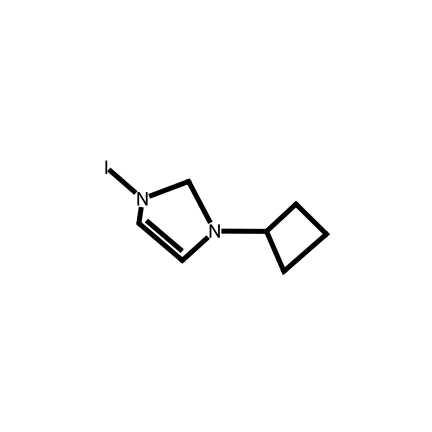 IN1C=CN(C2CCC2)C1